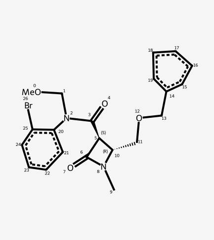 COCN(C(=O)[C@@H]1C(=O)N(C)[C@H]1COCc1ccccc1)c1ccccc1Br